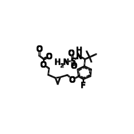 CC(C)(C)C(NS(N)(=O)=O)c1ccc(F)c(OCC2CC2CCOC(=O)C=O)c1